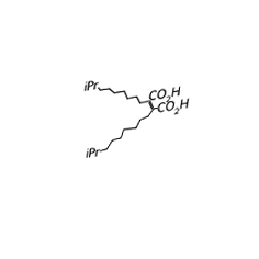 CC(C)CCCCCCC/C(C(=O)O)=C(\CCCCCCCC(C)C)C(=O)O